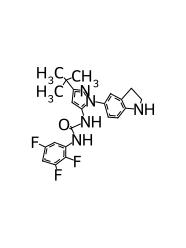 CC(C)(C)c1cc(NC(=O)Nc2cc(F)cc(F)c2F)n(-c2ccc3c(c2)CCN3)n1